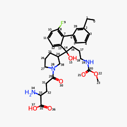 CCc1cccc(-c2c(F)cccc2C(O)(CCCNC(=O)OC)C2CCCN(C(=O)CCC(N)C(=O)O)C2)c1